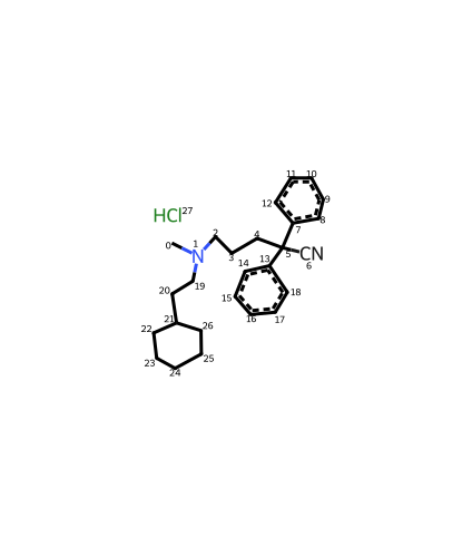 CN(CCCC(C#N)(c1ccccc1)c1ccccc1)CCC1CCCCC1.Cl